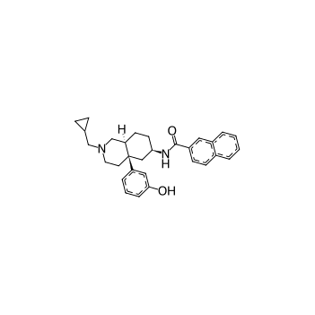 O=C(N[C@@H]1CC[C@@H]2CN(CC3CC3)CC[C@@]2(c2cccc(O)c2)C1)c1ccc2ccccc2c1